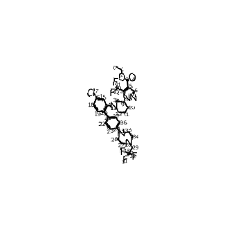 CCOC(=O)c1cnn(C2CCCN(c3cc(Cl)ccc3-c3ccc(N4CCN(CC(F)(F)F)CC4)cc3)C2)c1C(F)F